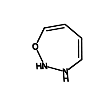 c1cco[nH][nH]c1